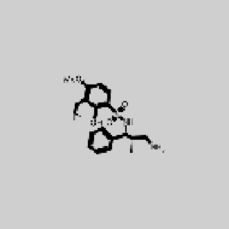 COc1ccc(S(=O)(=O)N[C@H](c2ccccc2)[C@H](C)CN)c(O)c1CC(C)C